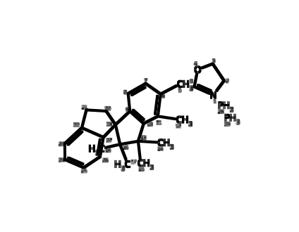 C1=NCCO1.Cc1ccc2c(c1C)C(C)(C)C(C)(C)C21CCc2ccccc21.P.P